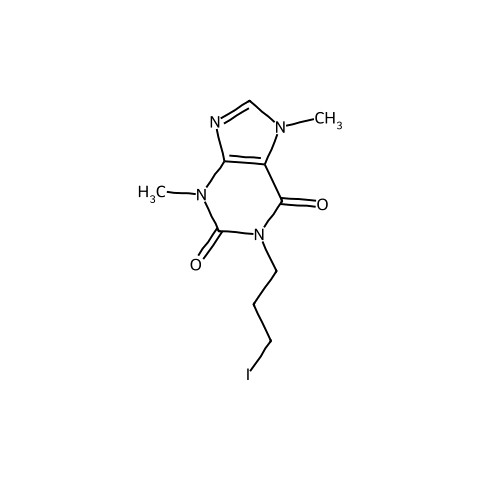 Cn1cnc2c1c(=O)n(CCCI)c(=O)n2C